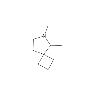 CC1N(C)CCC12CCC2